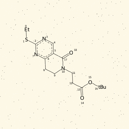 CCSc1ncc2c(n1)CCN(CCC(=O)OC(C)(C)C)C2=O